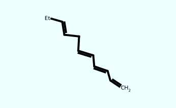 C=CC=CC=CCC=CCC